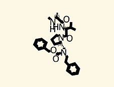 CN[C@@H](C)C(=O)N[C@H](C(=O)N1CCC[C@H]1CN(CCc1ccccc1)C(=O)OCc1ccccc1)C(C)C